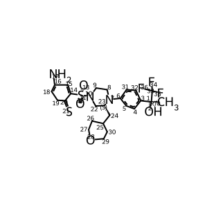 C[C@@](O)(c1ccc(N2CCN(S(=O)(=O)C3=CC(N)=CCC3=S)C[C@@H]2CC2CCOCC2)cc1)C(F)(F)F